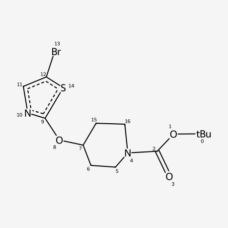 CC(C)(C)OC(=O)N1CCC(Oc2ncc(Br)s2)CC1